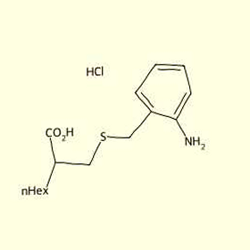 CCCCCCC(CSCc1ccccc1N)C(=O)O.Cl